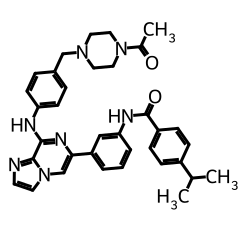 CC(=O)N1CCN(Cc2ccc(Nc3nc(-c4cccc(NC(=O)c5ccc(C(C)C)cc5)c4)cn4ccnc34)cc2)CC1